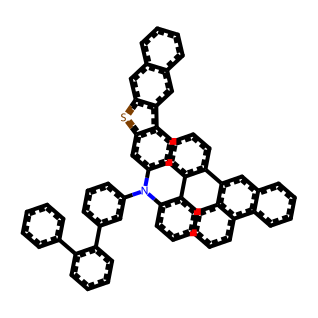 c1ccc(-c2ccccc2-c2cccc(N(c3ccc4c(c3)sc3cc5ccccc5cc34)c3ccccc3-c3ccccc3-c3cc4ccccc4c4ccccc34)c2)cc1